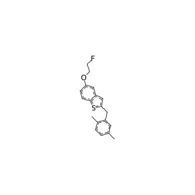 Cc1ccc(C)c(Cc2cc3cc(OCCF)ccc3s2)c1